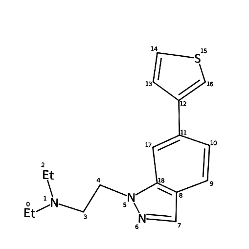 CCN(CC)CCn1ncc2ccc(-c3ccsc3)cc21